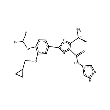 C[C@H](N)c1oc(-c2ccc(OC(F)F)c(OCC3CC3)c2)nc1C(=O)Nc1cn[nH]c1